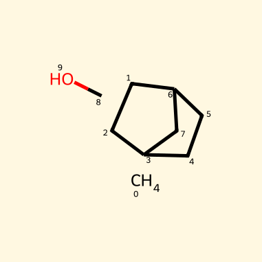 C.C1CC2CCC1C2.CO